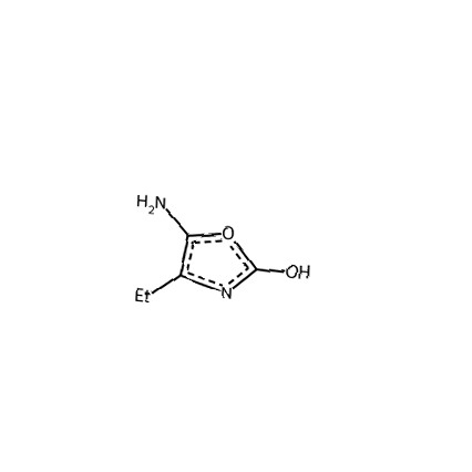 CCc1nc(O)oc1N